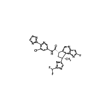 C[C@]1(c2cnn(C(F)F)n2)C[C@H](C(=O)Nc2cnc(-n3nccn3)c(Cl)c2)c2cnc3cc(F)nn3c21